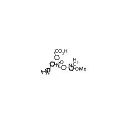 COc1ccc([C@H]2CC[C@H](CN(c3cccc(-c4cnn(C5CC5)c4)c3)C(=O)[C@H]3CC[C@H](CC(=O)O)CC3)CC2)nc1C